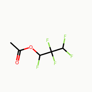 CC(=O)OC(F)C(F)(F)C(F)F